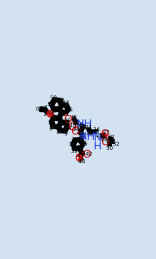 C=CCOc1ccc2ccccc2c1-c1c(OCC(=O)N[C@H](CCCNC(=O)OC(C)(C)C)C(=O)Nc2cccc(C(=O)OC)c2)ccc2ccccc12